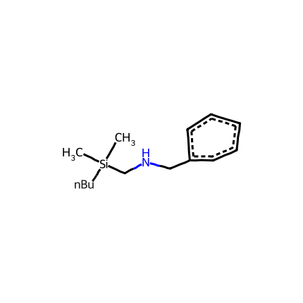 CCCC[Si](C)(C)CNCc1ccccc1